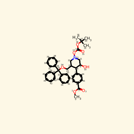 COC(=O)c1ccc(C2C(O)CN(OC(=O)OC(C)(C)C)CC2COC(c2ccccc2)(c2ccccc2)c2ccccc2)cc1